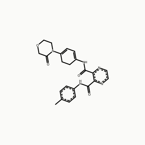 Cc1ccc(NC(=O)c2nccnc2C(=O)NC2=CC=C(N3CCOCC3=O)CC2)cc1